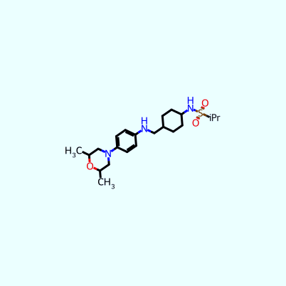 CC1CN(c2ccc(NCC3CCC(NS(=O)(=O)C(C)C)CC3)cc2)CC(C)O1